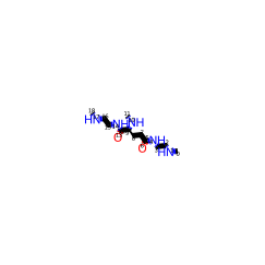 CNCCNC(=O)CC[C@H](NC)C(=O)NCCNC